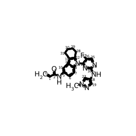 C=CC(=O)Nc1ccc2c(c1)c1c(n2-c2nc(Nc3cnn(C)c3)ncc2F)CCCC1